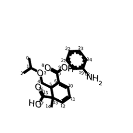 CC(C)OCC1C(C(=O)O)=CC=CC1(C)C(=O)O.Nc1ccccc1